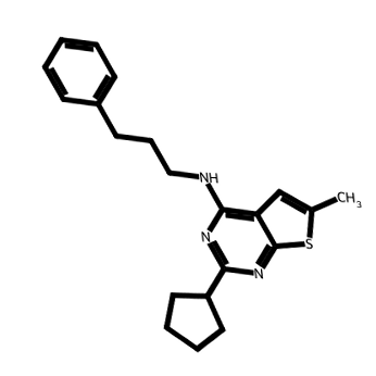 Cc1cc2c(NCCCc3ccccc3)nc(C3CCCC3)nc2s1